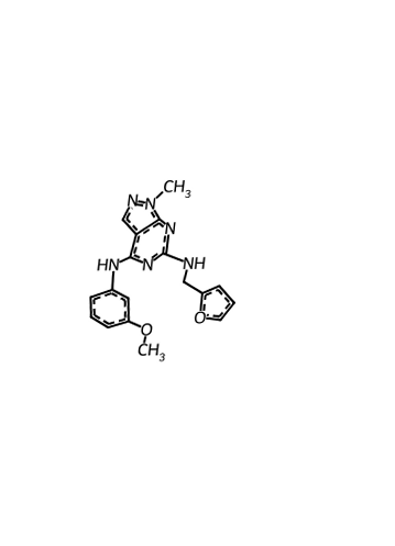 COc1cccc(Nc2nc(NCc3ccco3)nc3c2cnn3C)c1